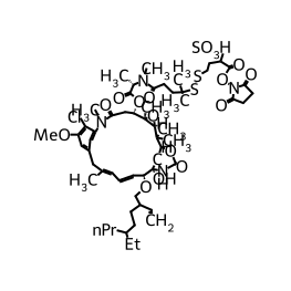 C=CC(CCC(CC)CCC)CO[C@@H]1/C=C/C=C(\C)Cc2cc(OC)c(Cl)c(c2)N(C)C(=O)C[C@H](OC(=O)[C@H](C)N(C)C(=O)CCC(C)(C)SSCCC(C(=O)ON2C(=O)CCC2=O)S(=O)(=O)O)[C@]2(C)O[C@H]2C(C)(C)[C@@H]2C[C@@]1(O)NC(=O)O2